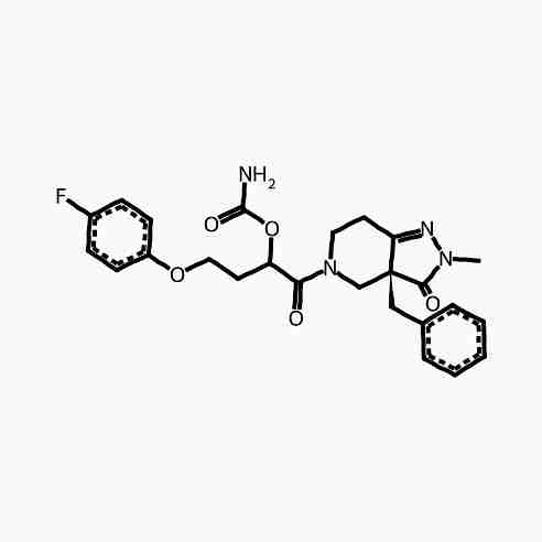 CN1N=C2CCN(C(=O)C(CCOc3ccc(F)cc3)OC(N)=O)C[C@@]2(Cc2ccccc2)C1=O